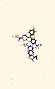 Cc1nc(N[C@H](C)c2ccc(C(=C3CCN(C(=O)OC(C)(C)C)CC3)c3ccc(F)cc3)cc2)c2cn(C3(CF)CC3)c(=O)cc2n1